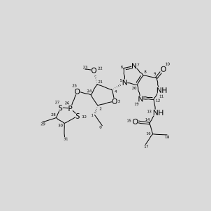 CC[C@H]1O[C@@H](n2cnc3c(=O)[nH]c(NC(=O)C(C)C)nc32)[C@@H](OC)C1OP1SC(C)C(C)S1